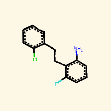 Nc1cccc(F)c1CCc1ccccc1Cl